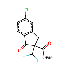 COC(=O)C1(C(F)F)Cc2cc(Cl)ccc2C1=O